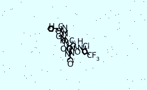 Cc1ncnc(C(=O)N2CCN(c3c4n(c5nc(C6=CCOCC6)nn5c3=O)[C@H](C(=O)Nc3ccc(C(F)(F)F)cc3Cl)C[C@H]4C)CC2)c1OCc1ccccc1